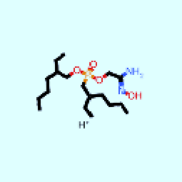 CCCCC(CC)COP(=O)(CC(CC)CCCC)OCC(N)=NO.[H+]